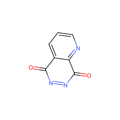 O=C1N=NC(=O)c2ncccc21